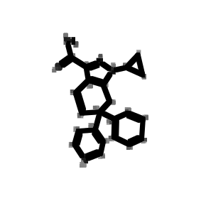 NC(=O)c1nn(C2CC2)c2c1C=CC(c1ccccc1)(c1ccncc1)C2